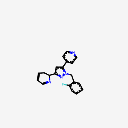 Fc1ccccc1Cn1nc(C2CC=CC=N2)cc1-c1ccncc1